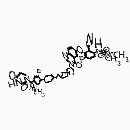 CCN(C)S(=O)(=O)Nc1ccc(F)c(Oc2ccc3ncn(C4CO[C@@]5(CCN(C6CCC(c7cc8c(cc7F)c(N7CCC(=O)NC7=O)nn8C)CC6)C5)C4)c(=O)c3c2)c1C#N